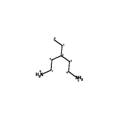 CC[C](CCN)CCN